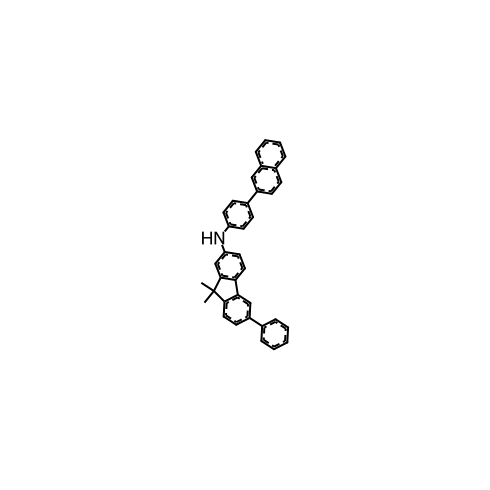 CC1(C)c2ccc(-c3ccccc3)cc2-c2ccc(Nc3ccc(-c4ccc5ccccc5c4)cc3)cc21